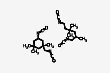 CC(CN=C=O)CC(C)(C)CCN=C=O.CC1(C)CC(N=C=O)CC(C)(CN=C=O)C1